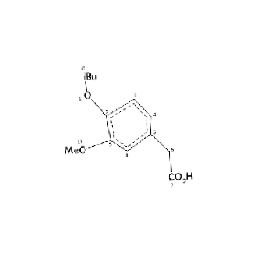 CCC(C)Oc1ccc(CC(=O)O)cc1OC